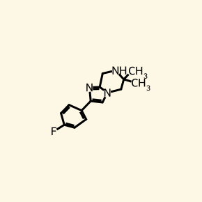 CC1(C)Cn2cc(-c3ccc(F)cc3)nc2CN1